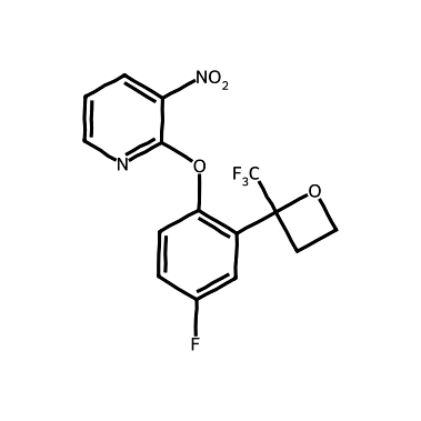 O=[N+]([O-])c1cccnc1Oc1ccc(F)cc1C1(C(F)(F)F)CCO1